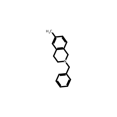 Cc1ccc2c(c1)CCN(Cc1ccccc1)C2